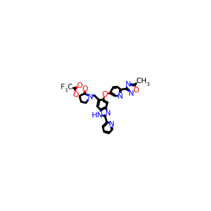 Cc1nc(-c2ccc(Oc3cc4nc(-c5ccccn5)[nH]c4cc3CN3CCC(OC(=O)C(F)(F)F)C3=O)cn2)no1